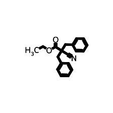 CCOC(=O)C(C#N)(Cc1ccccc1)Cc1ccccc1